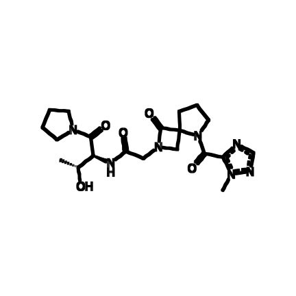 C[C@@H](O)[C@H](NC(=O)CN1CC2(CCCN2C(=O)c2ncnn2C)C1=O)C(=O)N1CCCC1